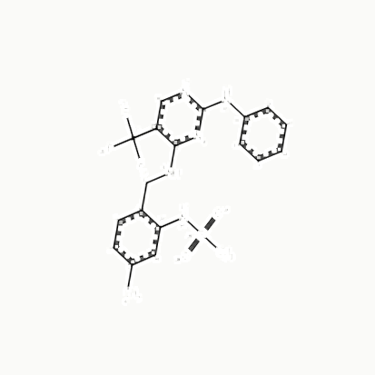 Cc1ccc(CNc2nc(Nc3ccccc3)ncc2C(F)(F)F)c(NS(C)(=O)=O)c1